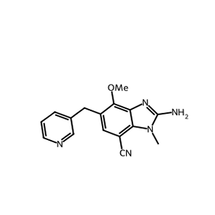 COc1c(Cc2cccnc2)cc(C#N)c2c1nc(N)n2C